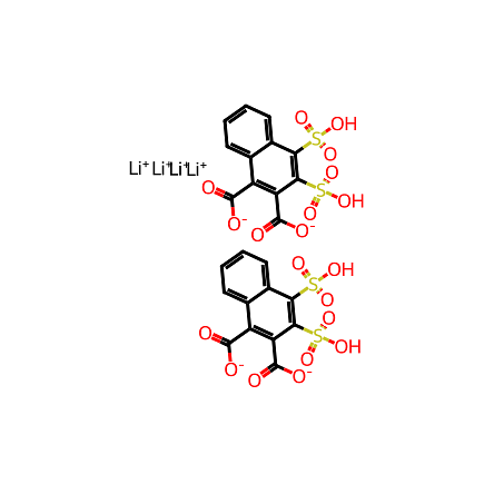 O=C([O-])c1c(S(=O)(=O)O)c(S(=O)(=O)O)c2ccccc2c1C(=O)[O-].O=C([O-])c1c(S(=O)(=O)O)c(S(=O)(=O)O)c2ccccc2c1C(=O)[O-].[Li+].[Li+].[Li+].[Li+]